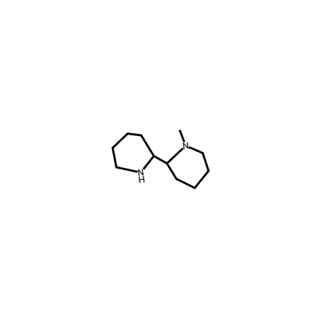 CN1CCCCC1C1CCCCN1